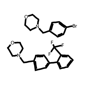 Brc1ccc(CN2CCOCC2)cc1.FC(F)(F)c1ccccc1-c1ccc(CN2CCOCC2)cc1